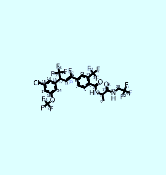 CC(NC(=O)c1ccc(/C(F)=C/C(c2cc(Cl)cc(OC(F)(F)F)c2)C(F)(F)F)cc1C(F)(F)F)C(=O)NCC(F)(F)F